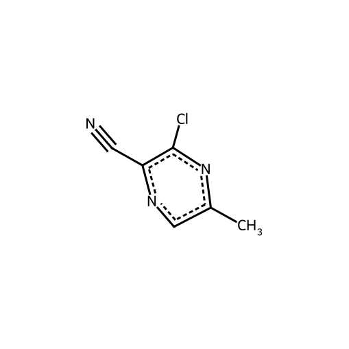 Cc1cnc(C#N)c(Cl)n1